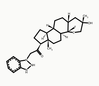 C[C@@]1(O)CC[C@@]2(F)[C@H](CC[C@H]3[C@@H]4CC[C@H](C(=O)CN5NNc6ccccc65)[C@@]4(C)CC[C@@H]32)C1